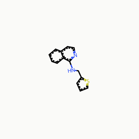 c1csc(CNc2nccc3ccccc23)c1